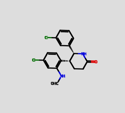 O=CNc1cc(Cl)ccc1[C@H]1CCC(=O)N[C@H]1c1cccc(Cl)c1